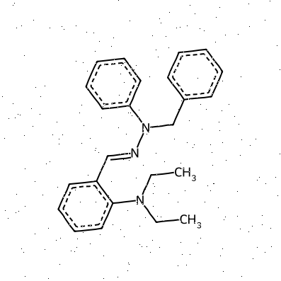 CCN(CC)c1ccccc1C=NN(Cc1ccccc1)c1ccccc1